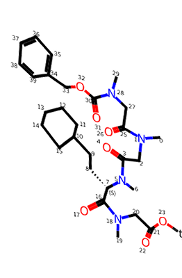 CN(CC(=O)N(C)[C@@H](CCC1CCCCC1)C(=O)N(C)CC(=O)OC(C)(C)C)C(=O)CN(C)C(=O)OCc1ccccc1